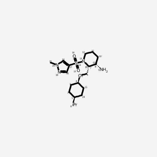 CC(C)[C@H]1CC[C@@H](OC[C@H]2[C@@H](N)CCCN2S(=O)(=O)c2cnn(C)c2)CC1